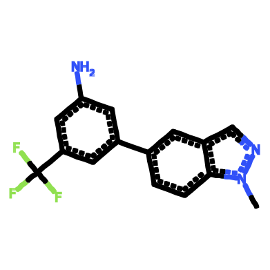 Cn1ncc2cc(-c3cc(N)cc(C(F)(F)F)c3)ccc21